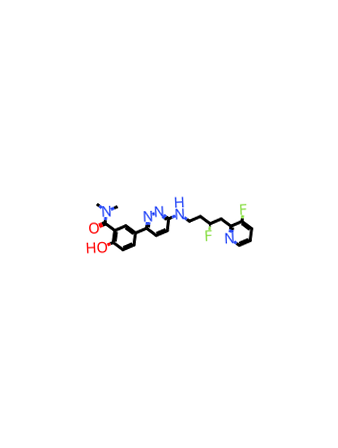 CN(C)C(=O)c1cc(-c2ccc(NCC[C@H](F)Cc3ncccc3F)nn2)ccc1O